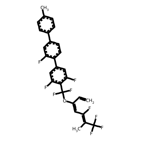 C=C/C(=C\C(F)=C(/C)C(F)(F)F)OC(F)(F)c1c(F)cc(-c2ccc(-c3ccc(C)cc3)cc2F)cc1F